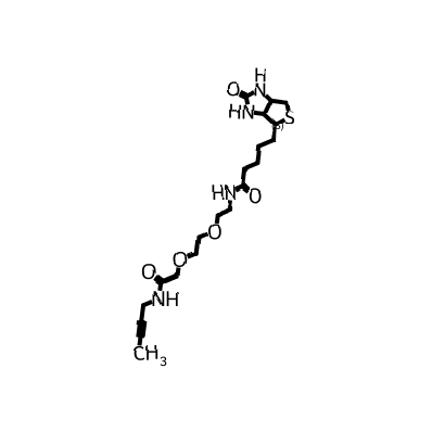 CC#CCNC(=O)COCCOCCNC(=O)CCCC[C@@H]1SCC2NC(=O)NC21